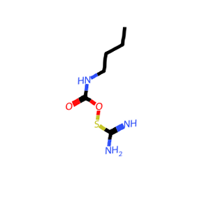 CCCCNC(=O)OSC(=N)N